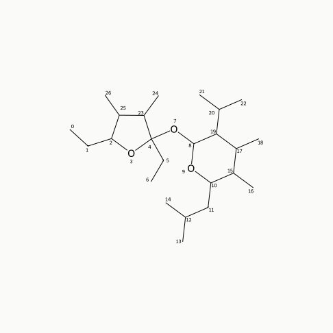 CCC1OC(CC)(OC2OC(CC(C)C)C(C)C(C)C2C(C)C)C(C)C1C